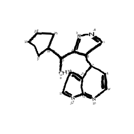 CC(C1=NN=CC1C1C=CN=C2N=CC=C21)C1CCCC1